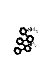 Nc1ccccc1-c1ccccc1-c1ccccc1-c1c(N)cccc1-c1ccccc1